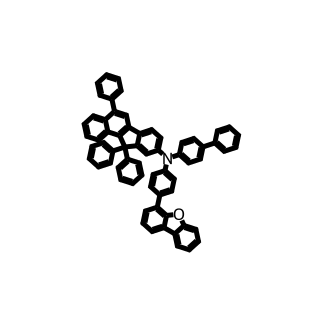 c1ccc(-c2ccc(N(c3ccc(-c4cccc5c4oc4ccccc45)cc3)c3ccc4c(c3)C(c3ccccc3)(c3ccccc3)c3c-4cc(-c4ccccc4)c4ccccc34)cc2)cc1